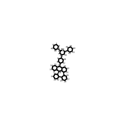 c1ccc(-c2cc(-c3ccc(-c4c5ccccc5c5c6c(cccc46)-c4ccccc4-c4ccccc4-5)cc3)cc(-c3ccccc3)n2)cc1